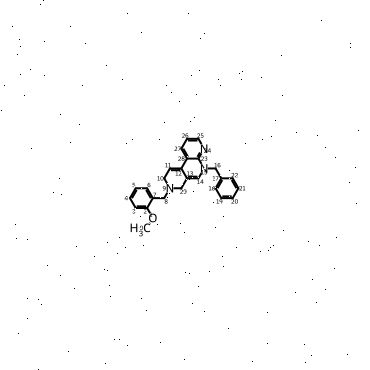 COc1ccccc1CN1CC=C2C(=CN(Cc3ccccc3)c3ncccc32)C1